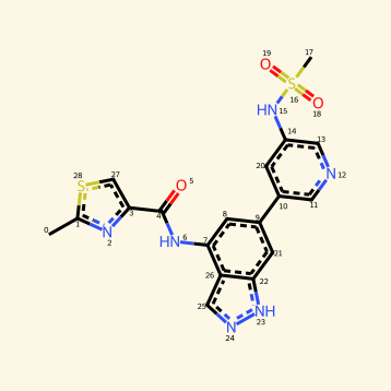 Cc1nc(C(=O)Nc2cc(-c3cncc(NS(C)(=O)=O)c3)cc3[nH]ncc23)cs1